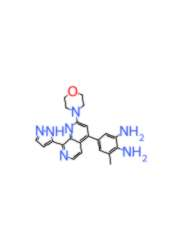 Cc1cc(-c2cc(N3CCOCC3)nc3c(-c4ccn[nH]4)nccc23)cc(N)c1N